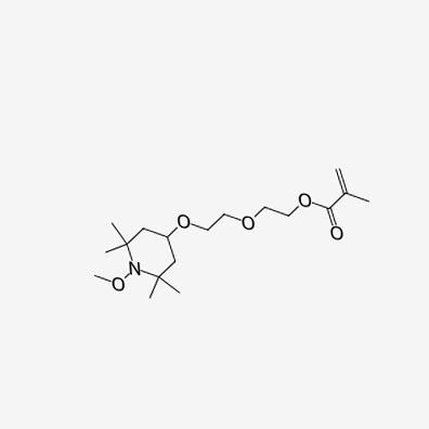 C=C(C)C(=O)OCCOCCOC1CC(C)(C)N(OC)C(C)(C)C1